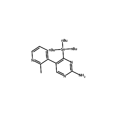 CCC[CH2][Sn]([CH2]CCC)([CH2]CCC)[c]1nc(N)ncc1-c1cccnc1C